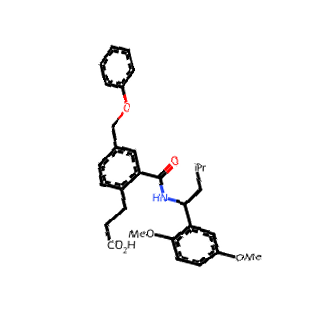 COc1ccc(OC)c(C(CC(C)C)NC(=O)c2cc(COc3ccccc3)ccc2CCC(=O)O)c1